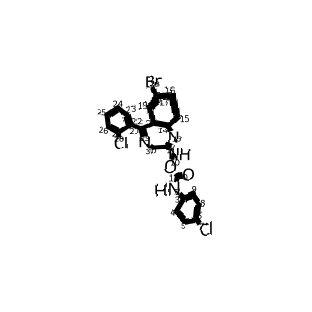 O=C(Nc1ccc(Cl)cc1)ONC1=Nc2ccc(Br)cc2C(c2ccccc2Cl)=NC1